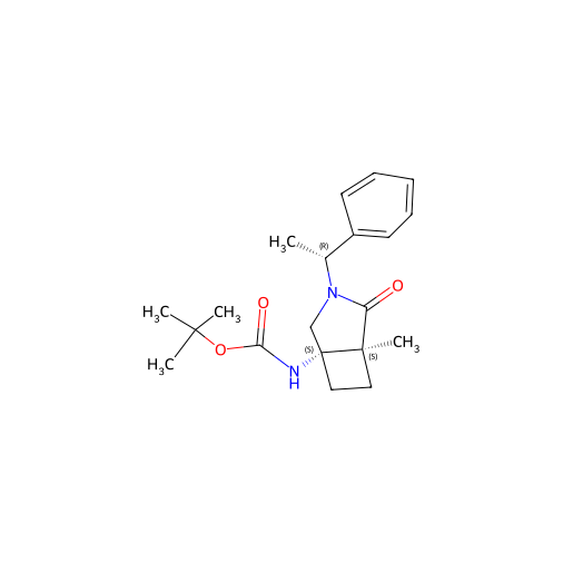 C[C@H](c1ccccc1)N1C[C@]2(NC(=O)OC(C)(C)C)CC[C@]2(C)C1=O